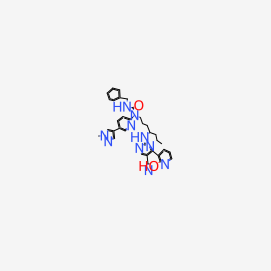 CCCC(CCCN(C(=O)NCc1ccccc1)c1ccc(-c2cnn(C)c2)cn1)Nc1ncc(C#N)c(-c2cccnc2O)n1